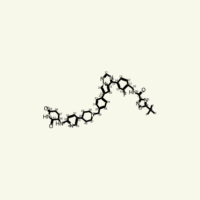 CC(C)(C)c1nc(C(=O)NCc2ccc(-c3ncnn4cc(-c5ccc(CN6CCC(c7ccc(NC8CCC(=O)NC8=O)nc7)CC6)cc5)cc34)cc2F)no1